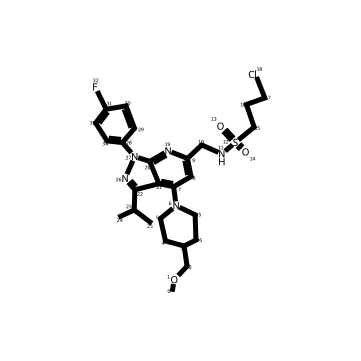 COCC1CCN(c2cc(CNS(=O)(=O)CCCCl)nc3c2c(C(C)C)nn3-c2ccc(F)cc2)CC1